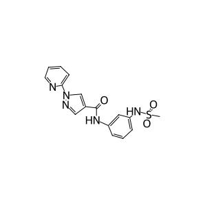 CS(=O)(=O)Nc1cccc(NC(=O)c2cnn(-c3ccccn3)c2)c1